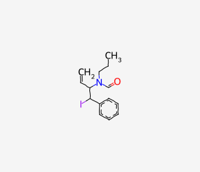 C=CC(C(I)c1ccccc1)N(C=O)CCC